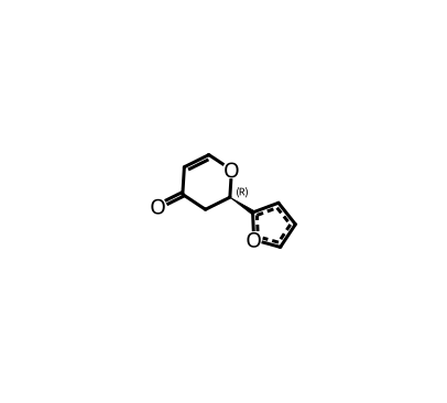 O=C1C=CO[C@@H](c2ccco2)C1